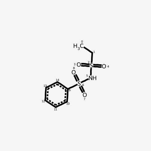 CCS(=O)(=O)NS(=O)(=O)c1ccccc1